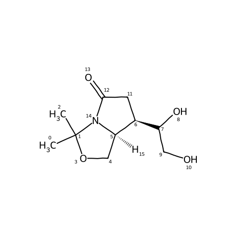 CC1(C)OC[C@@H]2[C@H](C(O)CO)CC(=O)N21